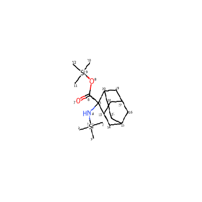 C[Si](C)(C)NC1(C(=O)O[Si](C)(C)C)C2CC3CC(C2)CC1C3